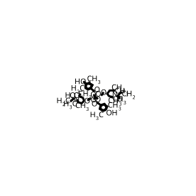 C=CC(=O)N1C(C)(C)CC(OCOC(OCOC2CC(C)(C)N(C(=O)C=C)C(C)(C)C2)(OC(=O)c2cc(C)c(O)c(C)c2)OC(=O)c2cc(C)c(O)c(C)c2)CC1(C)C